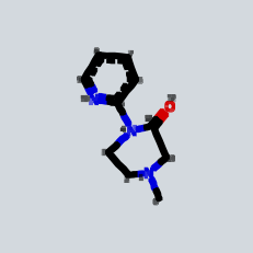 CN1CCN(c2ccccn2)C(=O)C1